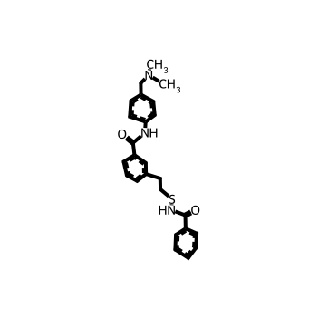 CN(C)Cc1ccc(NC(=O)c2cccc(CCSNC(=O)c3ccccc3)c2)cc1